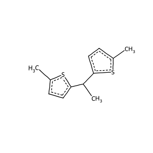 Cc1ccc(C(C)c2ccc(C)s2)s1